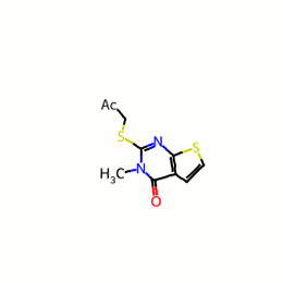 CC(=O)CSc1nc2sccc2c(=O)n1C